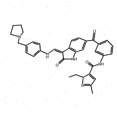 CCn1nc(C)cc1C(=O)Nc1cccc(C(=O)c2ccc3c(c2)NC(=O)/C3=C\Nc2ccc(CN3CCCC3)cc2)c1